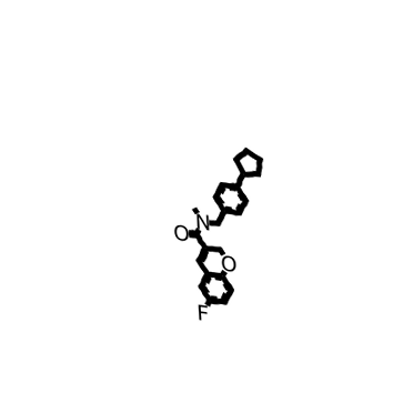 CN(Cc1ccc(C2CCCC2)cc1)C(=O)C1=Cc2cc(F)ccc2OC1